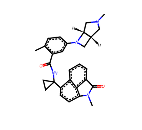 Cc1ccc(N2C[C@H]3CN(C)C[C@H]32)cc1C(=O)NC1(c2ccc3c4c(cccc24)C(=O)N3C)CC1